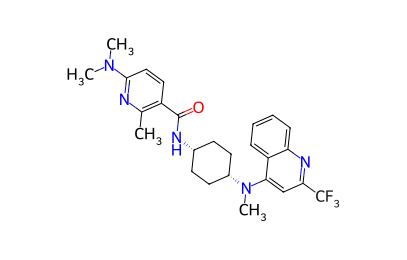 Cc1nc(N(C)C)ccc1C(=O)N[C@H]1CC[C@@H](N(C)c2cc(C(F)(F)F)nc3ccccc23)CC1